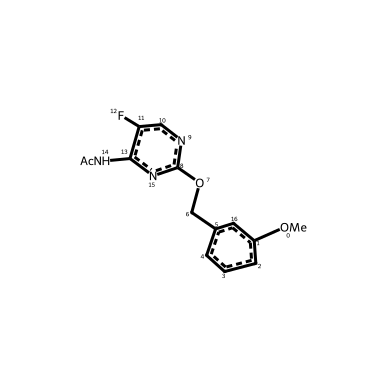 COc1cccc(COc2ncc(F)c(NC(C)=O)n2)c1